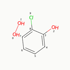 OO.Oc1ccccc1Cl